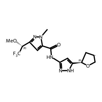 CO[C@H](c1cc(C(=O)Nc2cc([C@H]3C[CH]CO3)[nH]n2)n(C)n1)C(F)(F)F